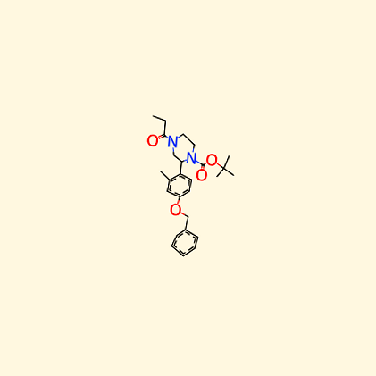 CCC(=O)N1CCN(C(=O)OC(C)(C)C)C(c2ccc(OCc3ccccc3)cc2C)C1